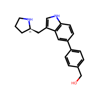 OCc1ccc(-c2ccc3[nH]cc(C[C@H]4CCCN4)c3c2)cc1